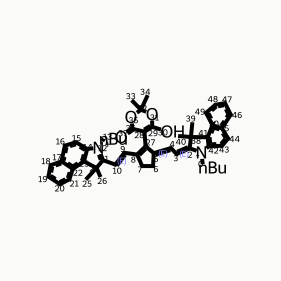 CCCCN1/C(=C/C=C2\CCC(/C=C/C3=[N+](CCCC)c4ccc5ccccc5c4C3(C)C)=C2C2=C(O)OC(C)(C)OC2=O)C(C)(C)c2c1ccc1ccccc21